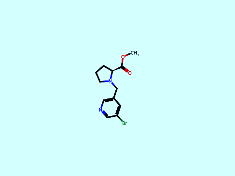 COC(=O)[C@@H]1CCCN1Cc1cncc(Br)c1